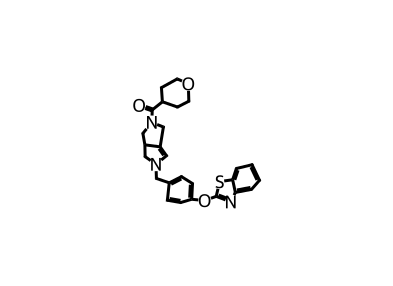 O=C(C1CCOCC1)N1CC2=CN(Cc3ccc(Oc4nc5ccccc5s4)cc3)CC2C1